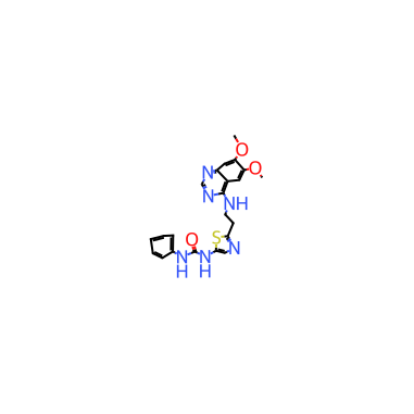 COc1cc2ncnc(NCCc3ncc(NC(=O)Nc4ccccc4)s3)c2cc1OC